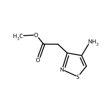 COC(=O)Cc1nscc1N